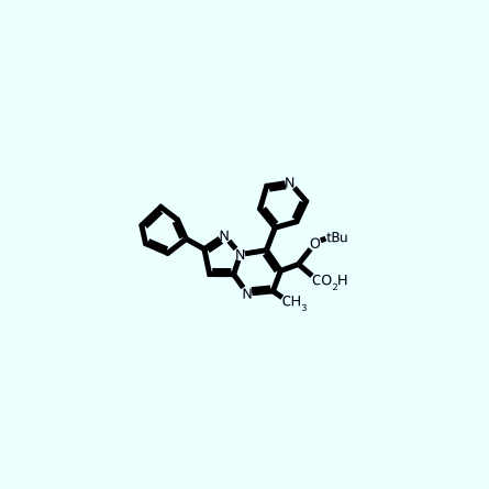 Cc1nc2cc(-c3ccccc3)nn2c(-c2ccncc2)c1C(OC(C)(C)C)C(=O)O